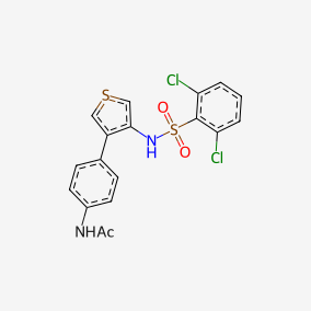 CC(=O)Nc1ccc(-c2cscc2NS(=O)(=O)c2c(Cl)cccc2Cl)cc1